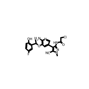 CC(Oc1cc(-c2c(NC(=O)CCl)nn(C)c2C#N)cnc1N)c1cc(F)ccc1O